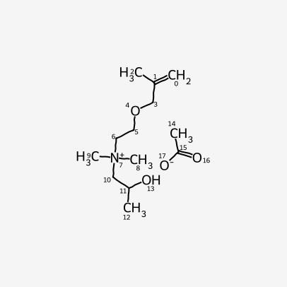 C=C(C)COCC[N+](C)(C)CC(C)O.CC(=O)[O-]